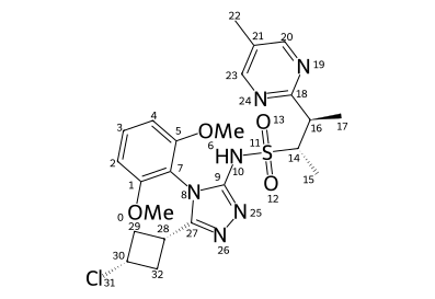 COc1cccc(OC)c1-n1c(NS(=O)(=O)[C@@H](C)[C@H](C)c2ncc(C)cn2)nnc1[C@H]1C[C@@H](Cl)C1